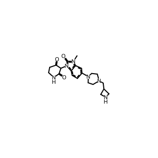 Cn1c(=O)n(C2C(=O)CCNC2=O)c2ccc(N3CCN(CC4CNC4)CC3)cc21